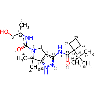 C[C@@H](CO)NC(=O)N1Cc2c(NC(=O)C3([Si](C)(C)C)CCC3)n[nH]c2C1(C)C